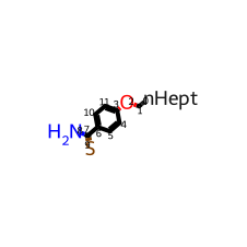 CCCCCCCCOc1ccc(C(N)=S)cc1